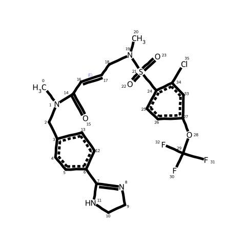 CN(Cc1ccc(C2=NCCN2)cc1)C(=O)/C=C/CN(C)S(=O)(=O)c1ccc(OC(F)(F)F)cc1Cl